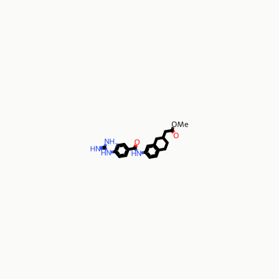 COC(=O)CC1CCc2ccc(NC(=O)c3ccc(NC(=N)N)cc3)cc2C1